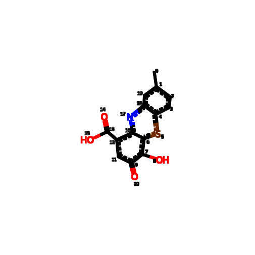 Cc1ccc2sc3c(O)c(=O)cc(C(=O)O)c-3nc2c1